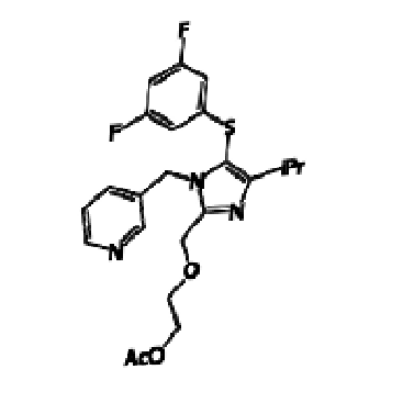 CC(=O)OCCOCc1nc(C(C)C)c(Sc2cc(F)cc(F)c2)n1Cc1cccnc1